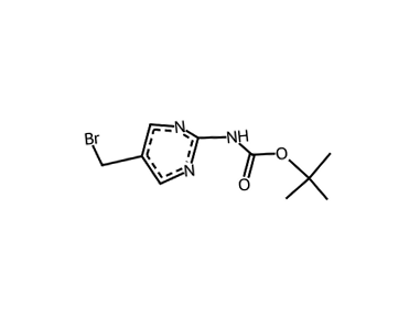 CC(C)(C)OC(=O)Nc1ncc(CBr)cn1